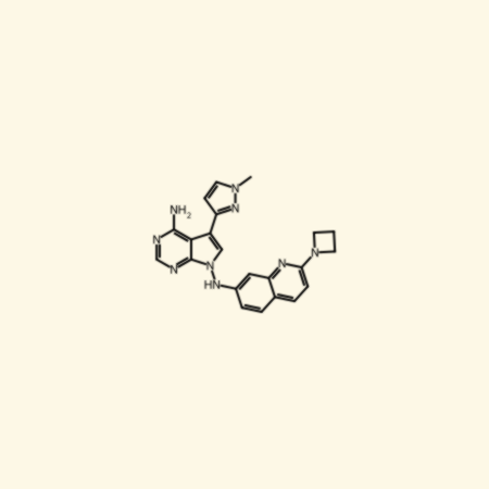 Cn1ccc(-c2cn(Nc3ccc4ccc(N5CCC5)nc4c3)c3ncnc(N)c23)n1